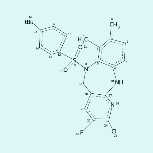 Cc1ccc2c(c1C)N(S(=O)(=O)c1ccc(C(C)(C)C)cc1)Cc1cc(F)c(Cl)nc1N2